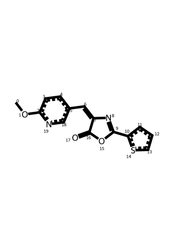 COc1ccc(/C=C2/N=C(c3cccs3)OC2=O)cn1